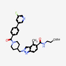 COCCNC(=O)c1ccc2nn(CC3CCN(C(=O)c4ccc(-c5cncc(F)c5)cc4)CC3)cc2c1C